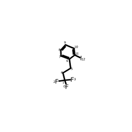 FC(F)(F)CCc1ccccc1I